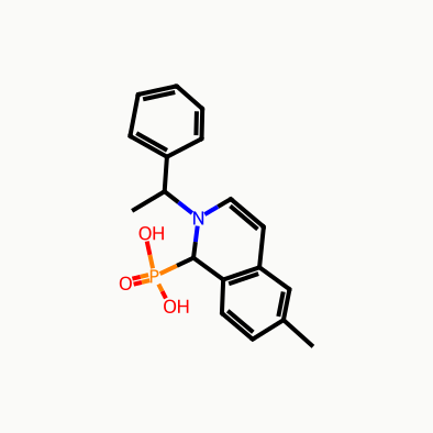 Cc1ccc2c(c1)C=CN(C(C)c1ccccc1)C2P(=O)(O)O